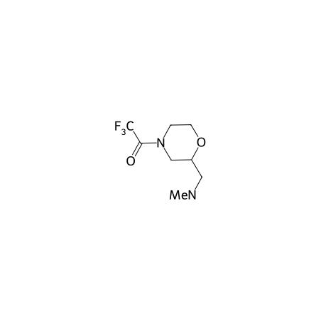 CNCC1CN(C(=O)C(F)(F)F)CCO1